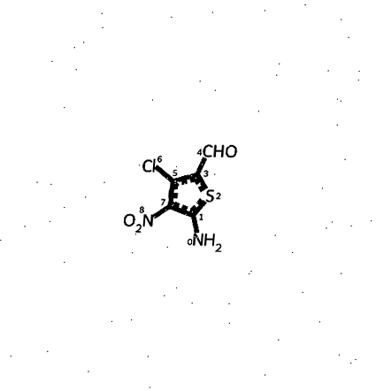 Nc1sc(C=O)c(Cl)c1[N+](=O)[O-]